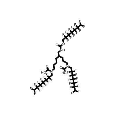 O=C(NCC(CCCCN(CC(F)(F)C(F)(F)C(F)(F)C(F)(F)C(F)(F)C(F)F)C(=O)O)CCCN(CC(F)(F)C(F)(F)C(F)(F)C(F)(F)C(F)(F)C(F)F)C(=O)O)OCC(F)(F)C(F)(F)C(F)(F)C(F)(F)C(F)(F)C(F)F